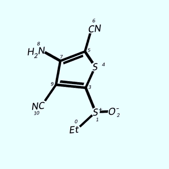 CC[S+]([O-])c1sc(C#N)c(N)c1C#N